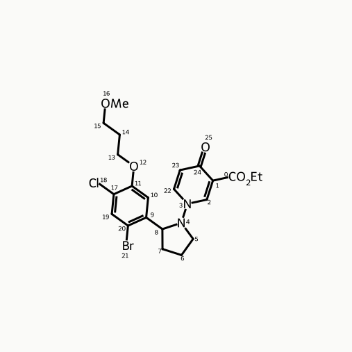 CCOC(=O)c1cn(N2CCCC2c2cc(OCCCOC)c(Cl)cc2Br)ccc1=O